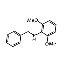 COc1cccc(OC)c1PCc1ccccc1